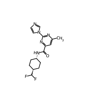 Cc1cc(C(=O)N[C@H]2CC[C@H](C(F)F)CC2)nc(-n2ccnc2)n1